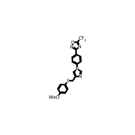 COc1ccc(SCc2cn(-c3ccc(-c4noc(C(F)(F)F)n4)cc3)cn2)cc1